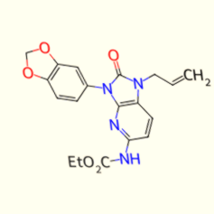 C=CCn1c(=O)n(-c2ccc3c(c2)OCO3)c2nc(NC(=O)OCC)ccc21